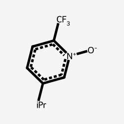 CC(C)c1ccc(C(F)(F)F)[n+]([O-])c1